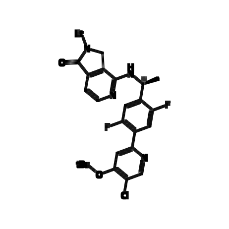 CCN1Cc2c(ccnc2N[C@@H](C)c2cc(F)c(-c3cc(OC(C)(C)C)c(Cl)cn3)cc2F)C1=O